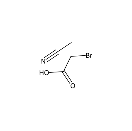 CC#N.O=C(O)CBr